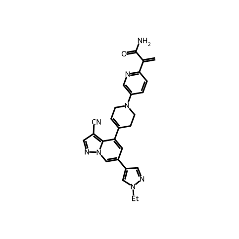 C=C(C(N)=O)c1ccc(N2CC=C(c3cc(-c4cnn(CC)c4)cn4ncc(C#N)c34)CC2)cn1